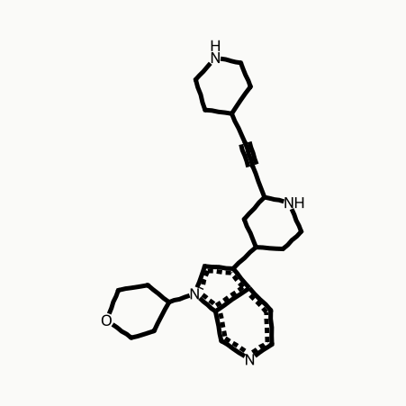 C(#CC1CC(c2cn(C3CCOCC3)c3cnccc23)CCN1)C1CCNCC1